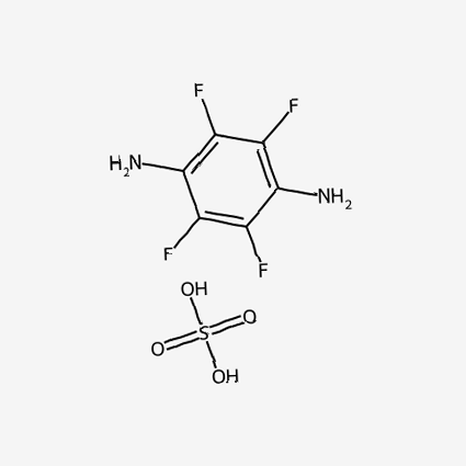 Nc1c(F)c(F)c(N)c(F)c1F.O=S(=O)(O)O